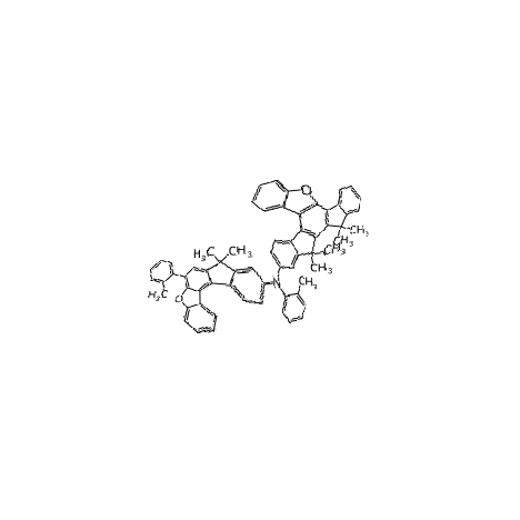 Cc1ccccc1-c1cc2c(c3c1oc1ccccc13)-c1ccc(N(c3ccc4c(c3)C(C)(C)c3c5c(c6oc7ccccc7c6c3-4)-c3ccccc3C5(C)C)c3ccccc3C)cc1C2(C)C